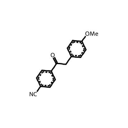 COc1ccc(CC(=O)c2ccc(C#N)cc2)cc1